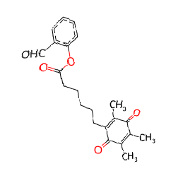 CC1=C(C)C(=O)C(CCCCCC(=O)Oc2ccccc2C=O)=C(C)C1=O